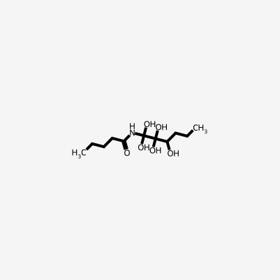 CCCCC(=O)NC(O)(O)C(O)(O)C(O)CCC